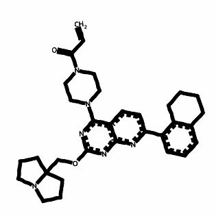 C=CC(=O)N1CCN(c2nc(OCC34CCCN3CCC4)nc3nc(-c4cccc5c4CCCC5)ccc23)CC1